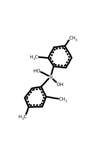 Cc1ccc([Si](O)(O)c2ccc(C)cc2C)c(C)c1